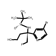 CC(C)(C)[S@@+]([O-])N[C@@](CF)(CCO)c1cc(Br)ccn1